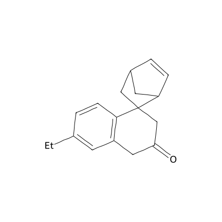 CCc1ccc2c(c1)CC(=O)CC21CC2C=CC1C2